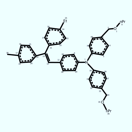 CCCOCc1ccc(N(c2ccc(C=C(c3ccc(C)cc3)c3ccc(CC)cc3)cc2)c2ccc(COCCC)cc2)cc1